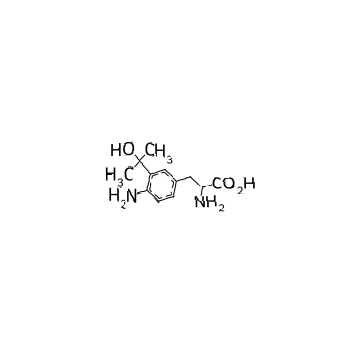 CC(C)(O)c1cc(CC(N)C(=O)O)ccc1N